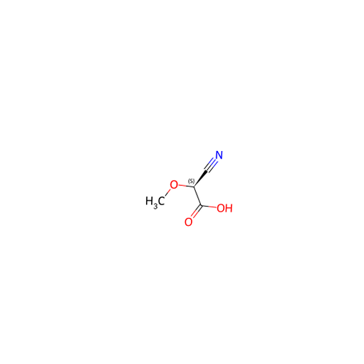 CO[C@@H](C#N)C(=O)O